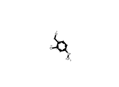 [O]Cc1ccc(OC(F)(F)F)cc1Cl